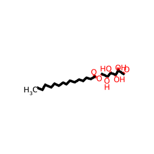 CCCCCCCCCCCCCCCC(=O)OCC(O)C(O)C(O)C(O)C=O